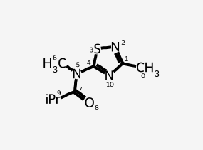 Cc1nsc(N(C)C(=O)C(C)C)n1